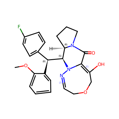 COc1ccccc1[C@@H](c1ccc(F)cc1)[C@H]1[C@H]2CCCN2C(=O)/C2=C(\O)COC/C=N\N21